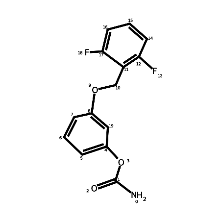 NC(=O)Oc1cccc(OCc2c(F)cccc2F)c1